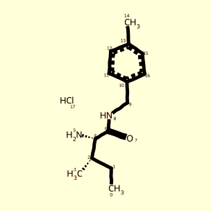 CC[C@H](C)[C@H](N)C(=O)NCc1ccc(C)cc1.Cl